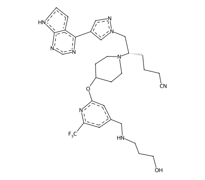 N#CCCC[C@@H](Cn1cc(-c2ncnc3[nH]ccc23)cn1)N1CCC(Oc2cc(CNCCCO)cc(C(F)(F)F)n2)CC1